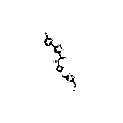 O=C(N[C@H]1C[C@@H](Cc2nnc(CO)o2)C1)c1cc(-c2ccc(F)s2)no1